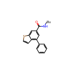 CCC(C)NC(=O)c1cc(-c2ccccc2)c2ccsc2c1